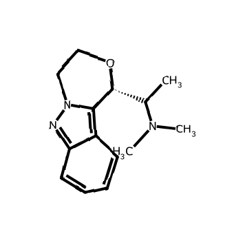 CC([C@H]1OCCn2nc3ccccc3c21)N(C)C